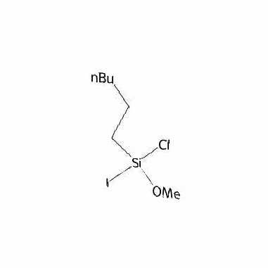 CCCCCC[Si](Cl)(I)OC